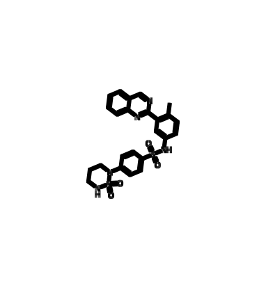 Cc1ccc(NS(=O)(=O)c2ccc(N3CCCNS3(=O)=O)cc2)cc1-c1ncc2ccccc2n1